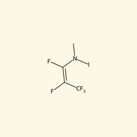 CN(I)/C(F)=C(/F)C(F)(F)F